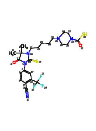 CC1(C)C(=O)N(c2ccc(C#N)c(C(F)(F)F)c2)C(=S)N1CCCCCN1CCN(C(=O)S)CC1